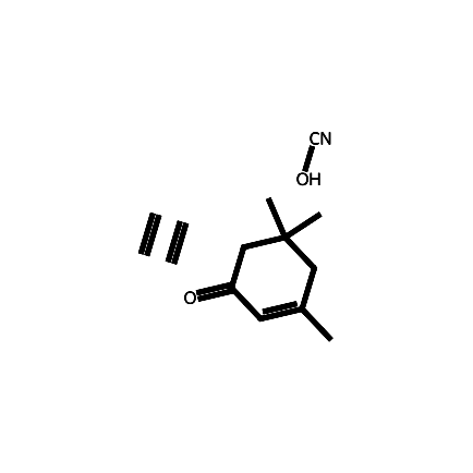 C=C.C=C.CC1=CC(=O)CC(C)(C)C1.N#CO